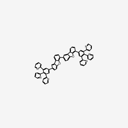 c1ccc(-c2cc(-c3ccc4oc5c(-c6ccc7oc8c(-c9cc(-c%10ccccn%10)c(-c%10ccccn%10)c(-c%10ccccn%10)c9)cccc8c7c6)cccc5c4c3)cc(-c3ccccn3)c2-c2ccccn2)nc1